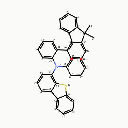 CC1(C)c2ccccc2-c2c(-c3ccccc3N(c3ccccc3)c3cccc4c3sc3ccccc34)cccc21